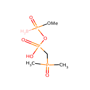 BP(=O)(OC)OP(=O)(O)CP(C)(C)=O